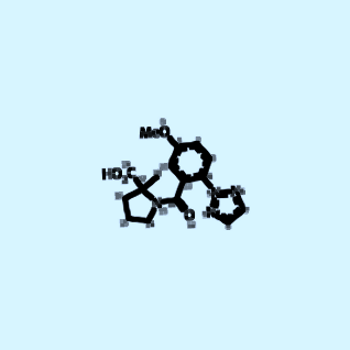 COc1ccc(-n2nccn2)c(C(=O)N2CCCC2(C)C(=O)O)c1